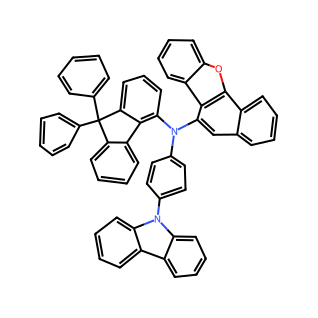 c1ccc(C2(c3ccccc3)c3ccccc3-c3c(N(c4ccc(-n5c6ccccc6c6ccccc65)cc4)c4cc5ccccc5c5oc6ccccc6c45)cccc32)cc1